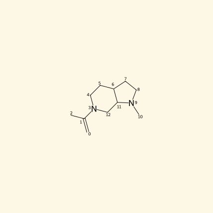 C=C(C)N1CCC2CCN(C)C2C1